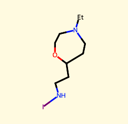 CCN1CCOC(CCNI)CC1